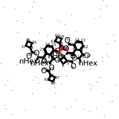 CCCCCCC(OC(=O)C1CCC1)C(=O)c1cccc(C(=O)OOC(=O)c2cccc(C(=O)C(CCCCCC)OC(=O)C3CCC3)c2C(=O)C(CCCCCC)OC(=O)C2CCC2)c1C(=O)C(CCCCCC)OC(=O)C1CCC1